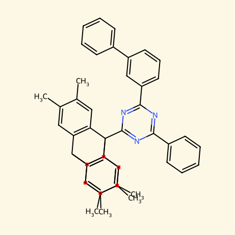 Cc1cc2c(cc1C)C1(c3nc(-c4ccccc4)nc(-c4cccc(-c5ccccc5)c4)n3)c3cc(C)c(C)cc3C2c2cc(C)c(C)cc21